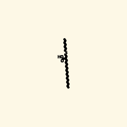 CCCCCCCCCCCCCCCC(CCSCCCCCCC)C(=O)O